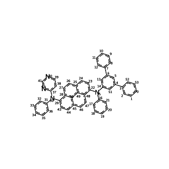 c1ccc(-c2cc(-c3ccccc3)cc(N(c3ccccc3)c3ccc4ccc5c(N(c6ccccc6)c6ccncn6)ccc6ccc3c4c65)c2)cc1